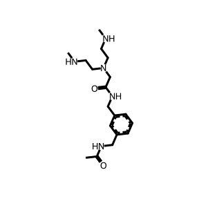 CNCCN(CCNC)CC(=O)NCc1cccc(CNC(C)=O)c1